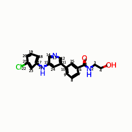 O=C(NCCO)c1cccc(-c2cncc(Nc3cccc(Cl)c3)c2)c1